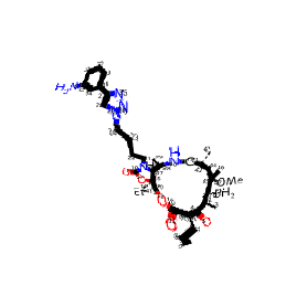 B[C@@H]1[C@@H](C)C(=O)[C@@H](CC=C)C(=O)O[C@H](CC)[C@@]2(C)OC(=O)N(CCCCn3cc(-c4cccc(N)c4)nn3)[C@@H]2[C@@H](C)NC[C@H](C)C[C@@]1(C)OC